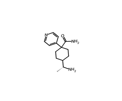 C[C@@H](N)C1CCC(C(N)=O)(c2ccncc2)CC1